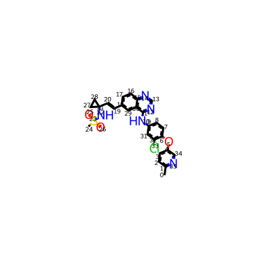 Cc1ccc(Oc2ccc(Nc3ncnc4ccc(/C=C/C5(NS(C)(=O)=O)CC5)cc34)cc2Cl)cn1